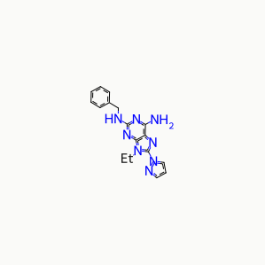 CCn1c(-n2cccn2)nc2c(N)nc(NCc3ccccc3)nc21